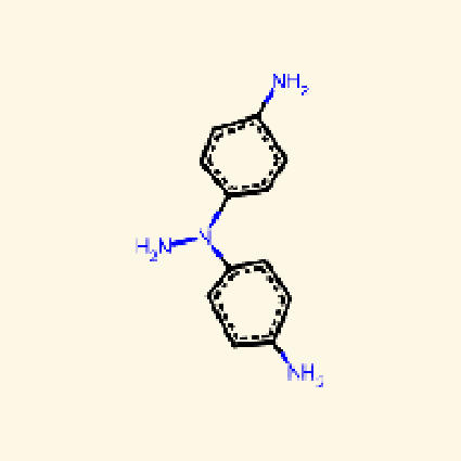 Nc1ccc(N(N)c2ccc(N)cc2)cc1